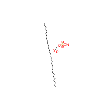 CCCCCCCCCCCCCCCCC(CCCCCCCCCCCCCC)COC(=O)CCOS(=O)(=O)O